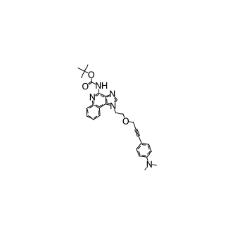 CN(C)c1ccc(C#CCOCCn2cnc3c(NC(=O)OC(C)(C)C)nc4ccccc4c32)cc1